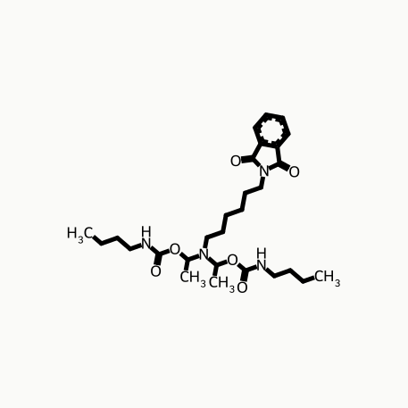 CCCCNC(=O)OC(C)N(CCCCCCN1C(=O)c2ccccc2C1=O)C(C)OC(=O)NCCCC